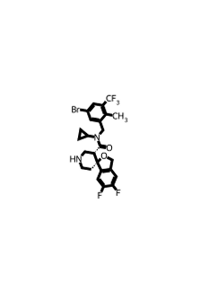 Cc1c(CN(C(=O)[C@H]2CNCC[C@@]23OCc2cc(F)c(F)cc23)C2CC2)cc(Br)cc1C(F)(F)F